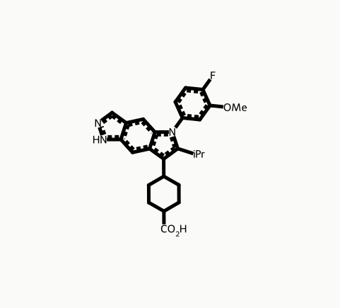 COc1cc(-n2c(C(C)C)c(C3CCC(C(=O)O)CC3)c3cc4[nH]ncc4cc32)ccc1F